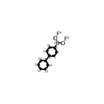 FOB(OF)c1ccc(-c2ccccc2)cc1